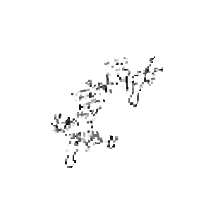 CSCC[C@H](NC(=O)[C@H](Cc1ccccc1)NC(=O)[C@H](CCC(N)=O)NC(=O)CNC(=O)CNC(=O)[C@H](CC(C)C)NC(=O)[C@@H](NC(=O)[C@H](CC(C)C)NC(=O)CNC(=O)[C@H](C)NC(=O)CNC(=O)[C@H](Cc1ccccc1)NC(=O)[C@@H](N)CCC(=O)O)C(C)C)C(=O)O